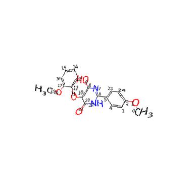 COc1ccc(-c2nc(O)c(Oc3ccccc3OC)c(=O)[nH]2)cc1